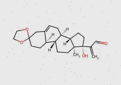 C=C(C=O)[C@]1(O)CC[C@H]2[C@@H]3CC=C4CC5(CC[C@@H]4[C@H]3CC[C@@]21C)OCCO5